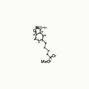 COC(=O)CCCCc1ccc2onc(C)c2c1